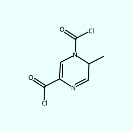 CC1C=NC(C(=O)Cl)=CN1C(=O)Cl